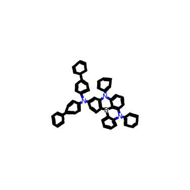 C1=CCC(c2ccc(N(c3ccc(-c4ccccc4)cc3)c3ccc4c(c3)N(c3ccccc3)c3cccc5c3B4c3ccccc3N5c3ccccc3)cc2)C=C1